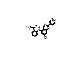 NC(=O)c1ccccc1Nc1cc(Cl)cc2nc(-c3ccnnc3)ncc12